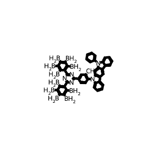 Bc1c(B)c(B)c(-c2nc(-c3ccc(-n4c5ccccc5c5cc6c7ccccc7n(-c7ccccc7)c6cc54)c(C)c3)nc(-c3c(B)c(B)c(B)c(B)c3B)n2)c(B)c1B